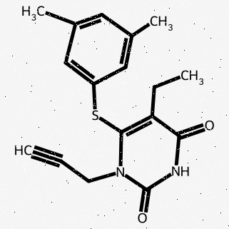 C#CCn1c(Sc2cc(C)cc(C)c2)c(CC)c(=O)[nH]c1=O